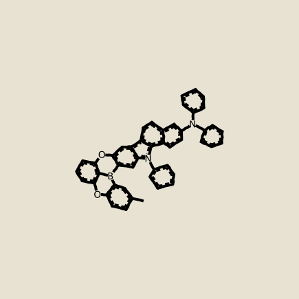 Cc1ccc2c(c1)B1c3cc4c(cc3Oc3cccc(c31)O2)c1ccc2cc(N(c3ccccc3)c3ccccc3)ccc2c1n4-c1ccccc1